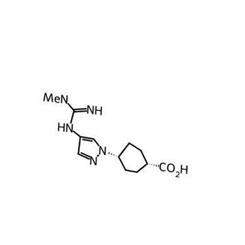 CNC(=N)Nc1cnn([C@H]2CC[C@@H](C(=O)O)CC2)c1